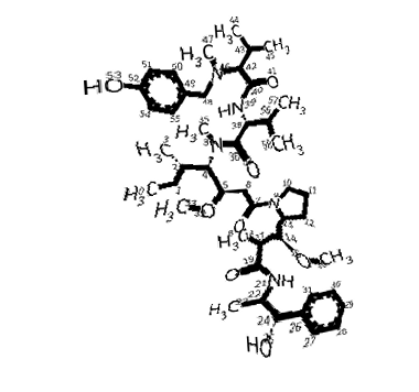 CC[C@H](C)[C@@H]([C@@H](CC(=O)N1CCCC1[C@@H](OC)C(C)C(=O)NC(C)[C@@H](O)c1ccccc1)OC)N(C)C(=O)[C@H](NC(=O)C(C(C)C)N(C)Cc1ccc(O)cc1)C(C)C